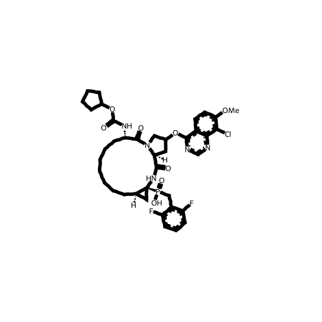 COc1ccc2c(OC3C[C@H]4C(=O)N[C@]5(P(=O)(O)Cc6c(F)cccc6F)C[C@H]5CCCCCCC[C@H](NC(=O)OC5CCCC5)C(=O)N4C3)ncnc2c1Cl